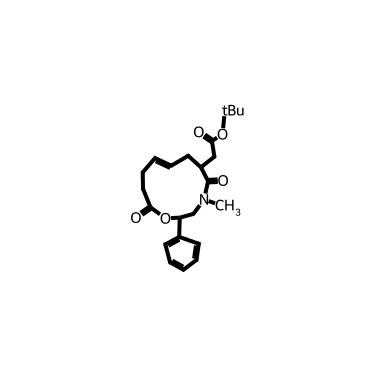 CN1CC(c2ccccc2)OC(=O)CC/C=C/CC(CC(=O)OC(C)(C)C)C1=O